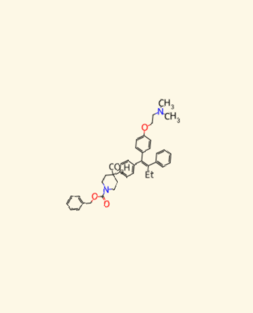 CC/C(=C(/c1ccc(OCCN(C)C)cc1)c1ccc(C2(C(=O)O)CCN(C(=O)OCc3ccccc3)CC2)cc1)c1ccccc1